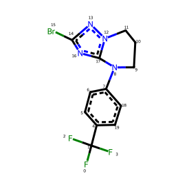 FC(F)(F)c1ccc(N2CCCn3nc(Br)nc32)cc1